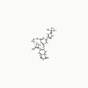 O=C1[C@H](C2CC2)[C@H](c2c(F)cc(-c3cn(C(F)(F)F)cn3)cc2F)N1c1ccc2[nH]cnc2c1